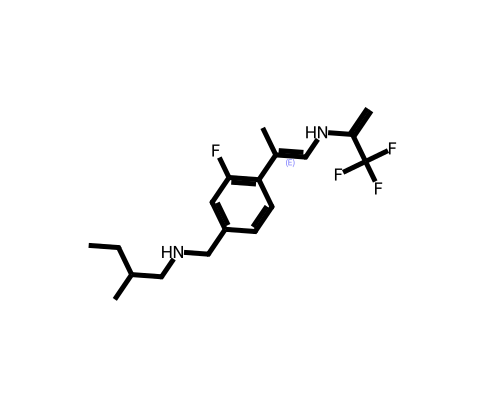 C=C(N/C=C(\C)c1ccc(CNCC(C)CC)cc1F)C(F)(F)F